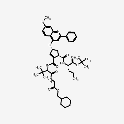 CCC[C@H](NC(=O)[C@@H]1C[C@@H](Oc2cc(-c3ccccc3)nc3cc(OC)ccc23)C=C1C(=O)N[C@@H](C(=O)NCC(=O)OCC1CCCCC1)C(C)(C)C)C(=O)OC(C)(C)C